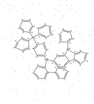 c1ccc(-c2ccccc2N(c2ccc(C(c3ccccc3)(c3ccccc3)c3ccccc3)cc2)c2ccc3c4ccccc4n(-c4ccccc4)c3c2)cc1